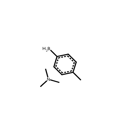 Bc1ccc(C)cc1.CN(C)C